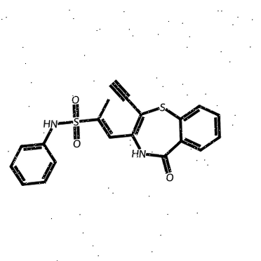 C#CC1=C(/C=C(\C)S(=O)(=O)Nc2ccccc2)NC(=O)c2ccccc2S1